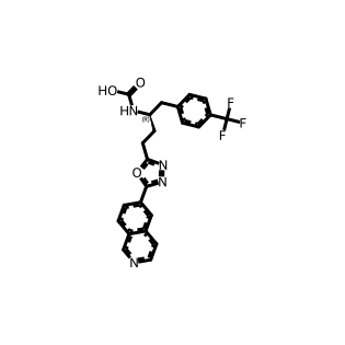 O=C(O)N[C@H](CCc1nnc(-c2ccc3cnccc3c2)o1)Cc1ccc(C(F)(F)F)cc1